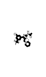 CC(=O)Nc1nc(-c2cc(Cl)cc(C(F)(F)F)c2)c(CN2CCCC[C@H]2C)s1